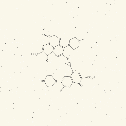 C[C@H]1COc2c(N3CCN(C)CC3)c(F)cc3c(=O)c(C(=O)O)cn1c23.O=C(O)c1cn(C2CC2)c2cc(N3CCNCC3)c(F)cc2c1=O